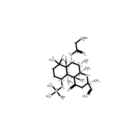 C=C[C@@]1(C)CC(=O)[C@]2(O)[C@@]3(C)[C@@H](O[Si](C)(C)C(C)(C)C)CCC(C)(C)[C@@H]3[C@H](OC(=O)COC)[C@H](O)[C@@]2(C)O1